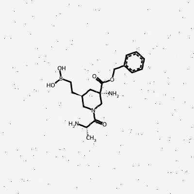 C[C@H](N)C(=O)N1C[C@@H](CCB(O)O)C[C@@](N)(C(=O)OCc2ccccc2)C1